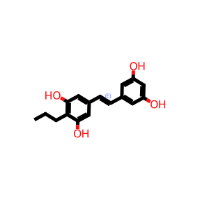 CCCc1c(O)cc(/C=C/c2cc(O)cc(O)c2)cc1O